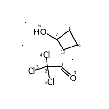 O=CC(Cl)(Cl)Cl.OC1CCC1